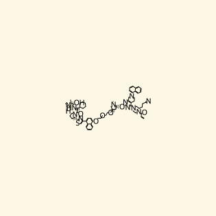 C=CC(=O)N1CCN(c2nc(OC[C@@H]3C[C@@H](OCCOCCOc4ccc(-c5csc([C@@H]6CCCN6C(=O)[C@@H](NC(O)[C@H](C)NC)C6CCCCC6)n5)c5ccccc45)CN3C)nc3c2CCN(c2cccc4ccccc24)C3)CC1CCC#N